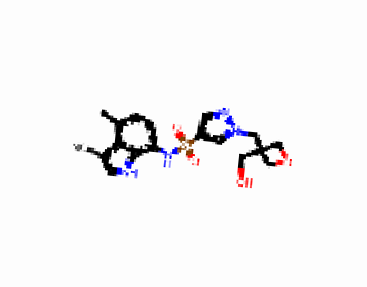 Cc1ccc(NS(=O)(=O)c2cnn(CC3(CO)COC3)c2)c2[nH]cc(C#N)c12